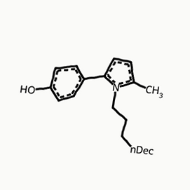 CCCCCCCCCCCCCn1c(C)ccc1-c1ccc(O)cc1